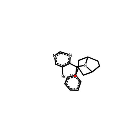 OC1(c2ncncc2Br)CC2CCC(C1)N2Cc1ccccc1